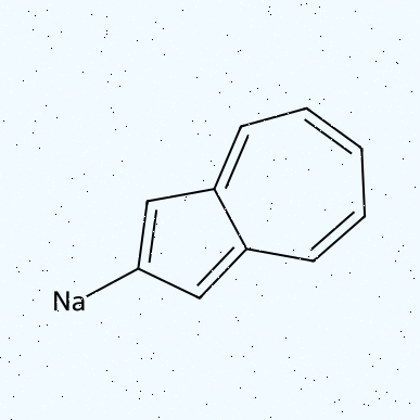 [Na][c]1cc2cccccc-2c1